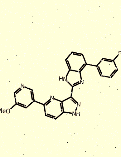 COc1cncc(-c2ccc3[nH]nc(-c4nc5c(-c6cccc(F)c6)cccc5[nH]4)c3n2)c1